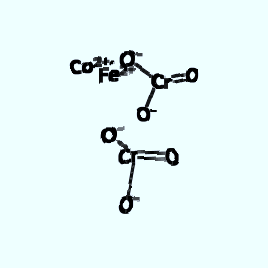 [Co+2].[Fe+2].[O]=[Cr]([O-])[O-].[O]=[Cr]([O-])[O-]